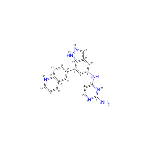 Nc1nccc(Nc2cc(-c3ccc4ncccc4c3)c3[nH]ncc3c2)n1